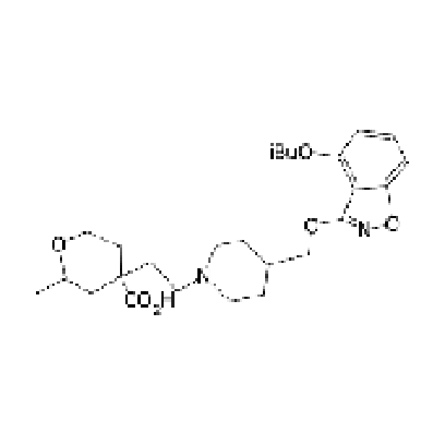 CC(C)COc1cccc2onc(OCC3CCN(CCC4(C(=O)O)CCOC(C)C4)CC3)c12